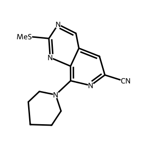 CSc1ncc2cc(C#N)nc(N3CCCCC3)c2n1